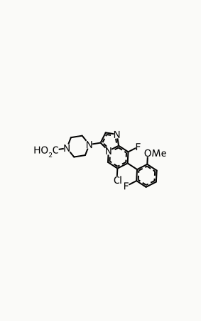 COc1cccc(F)c1-c1c(Cl)cn2c(N3CCN(C(=O)O)CC3)cnc2c1F